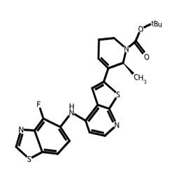 C[C@H]1C(c2cc3c(Nc4ccc5scnc5c4F)ccnc3s2)=CCCN1C(=O)OC(C)(C)C